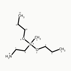 CCCO[Si](C)(CCN)OCCC